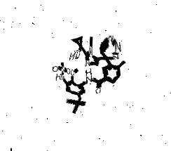 COc1c(NC(=O)c2ccc(C)c(C3(c4cnc(C5(O)CC5)n4C)C=NN=N3)c2)cc(C(C)(C)C)cc1NS(C)(=O)=O